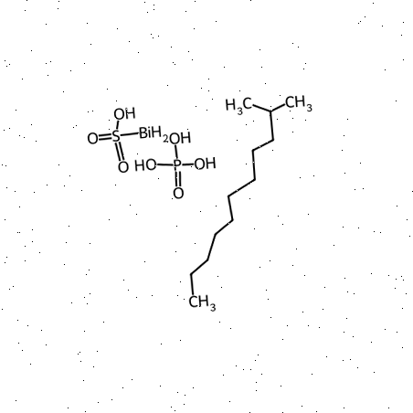 CCCCCCCCCC(C)C.O=P(O)(O)O.O=[S](=O)(O)[BiH2]